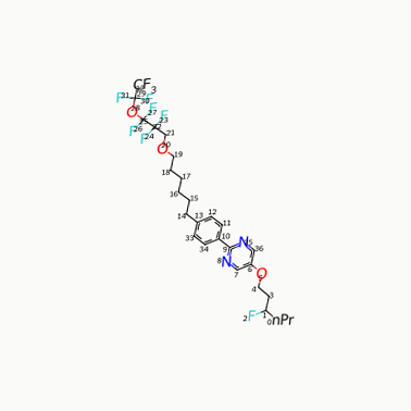 CCCC(F)CCOc1cnc(-c2ccc(CCCCCCOCC(F)(F)C(F)(F)OC(F)(F)C(F)(F)F)cc2)nc1